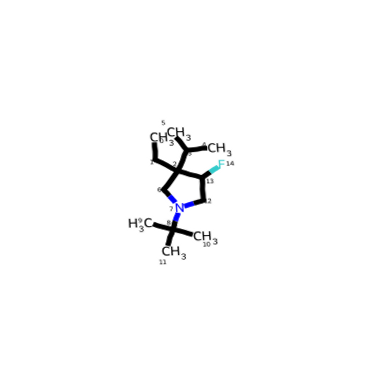 CCC1(C(C)C)CN(C(C)(C)C)CC1F